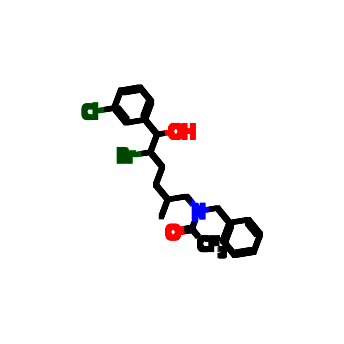 CC(CCC(Br)C(O)c1cccc(Cl)c1)CN(Cc1ccccc1)C(=O)C(F)(F)F